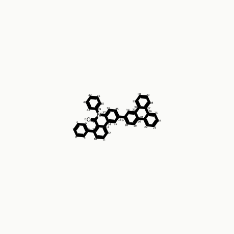 O=c1c2c(-c3ccccc3)cccc2c2cc(-c3ccc4c5ccccc5c5ccccc5c4c3)ccc2n1-c1ccccc1